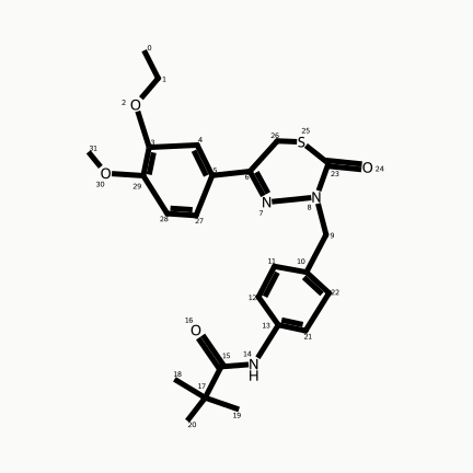 CCOc1cc(C2=NN(Cc3ccc(NC(=O)C(C)(C)C)cc3)C(=O)SC2)ccc1OC